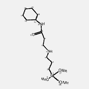 CO[Si](CCCNCCC(=O)NC1CCCCC1)(OC)OC